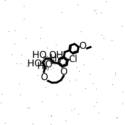 CCOC1C=CC(Cc2cc3c(cc2Cl)OCCCCCOC[C@H]2O[C@@H]3[C@H](O)[C@@H](O)[C@@H]2O)=CC1